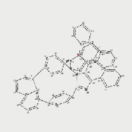 c1ccc(C2=NC3(NC2c2ccccc2)c2ccc(cc2)-c2cccc4cccc(c24)-c2ccc(cc2)-c2nc(-c4ccccc4)c(-c4ccccc4)n23)cc1